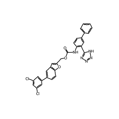 O=C(Nc1ccc(-c2ccccc2)cc1-c1nnn[nH]1)OCc1cc2cc(-c3cc(Cl)cc(Cl)c3)ccc2o1